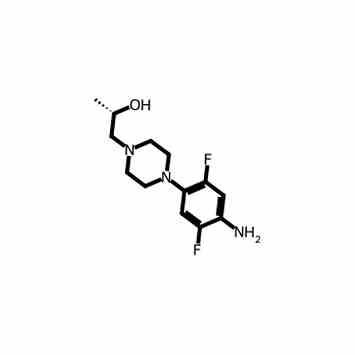 C[C@H](O)CN1CCN(c2cc(F)c(N)cc2F)CC1